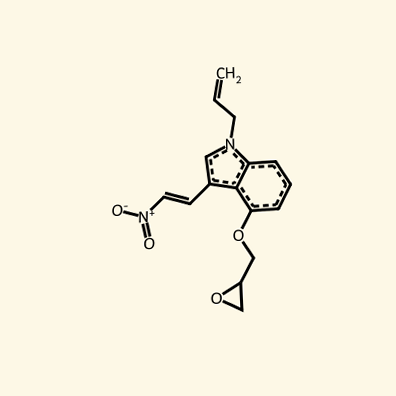 C=CCn1cc(C=C[N+](=O)[O-])c2c(OCC3CO3)cccc21